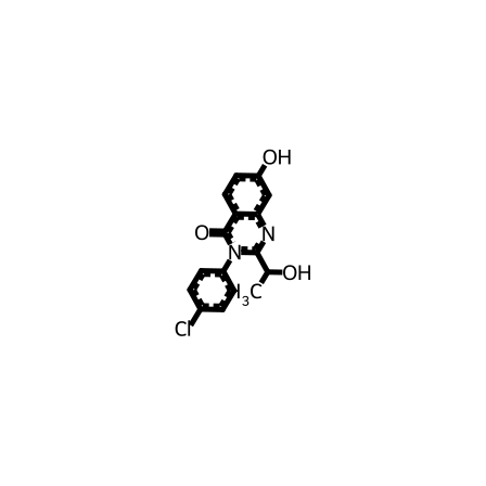 CC(O)c1nc2cc(O)ccc2c(=O)n1-c1ccc(Cl)cc1